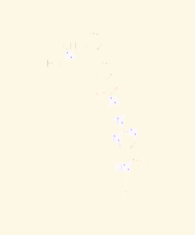 CN(C)Cc1ccccc1-c1ccc(S(=O)(=O)N2CCN(c3ncc(C(=O)NOC4CCCCO4)cn3)CC2)cc1